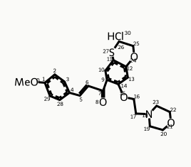 COc1ccc(C=CC(=O)c2cc3c(cc2OCCN2CCOCC2)OCCS3)cc1.Cl